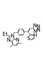 CCc1nc2c(C)cc(C)nc2n1Cc1ccc(/C(=C/c2nnn[nH]2)c2cccs2)cc1